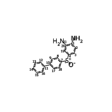 Nc1ccc([S+]([O-])c2ccc(-c3ccccc3)cc2)cc1N